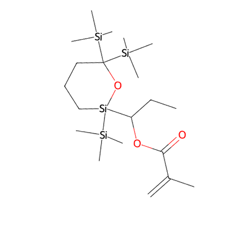 C=C(C)C(=O)OC(CC)[Si]1([Si](C)(C)C)CCCC([Si](C)(C)C)([Si](C)(C)C)O1